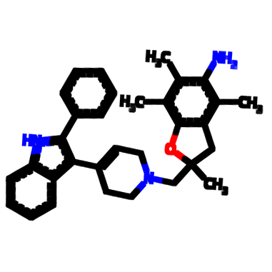 Cc1c(C)c2c(c(C)c1N)CC(C)(CN1CC=C(c3c(-c4ccccc4)[nH]c4ccccc34)CC1)O2